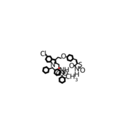 Cc1ccccc1S(=O)(=O)NCCc1c(CCOc2ccc(C=C3SC(=O)NC3=O)cc2)c2cc(Cl)ccc2n1C(c1ccccc1)c1ccccc1